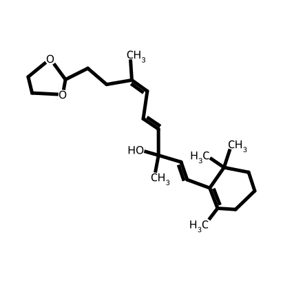 CC(=CC=CC(C)(O)C=CC1=C(C)CCCC1(C)C)CCC1OCCO1